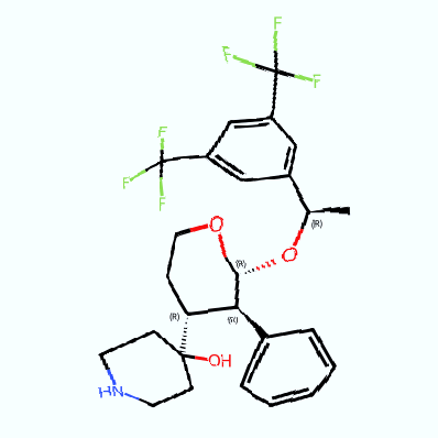 C[C@@H](O[C@H]1OCC[C@@H](C2(O)CCNCC2)[C@@H]1c1ccccc1)c1cc(C(F)(F)F)cc(C(F)(F)F)c1